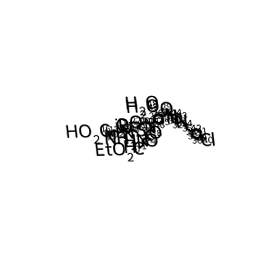 CCOC(=O)CNC(=O)C(SCCNC(=O)CC[C@@H](N)C(=O)O)C(=O)N(CCOC(C)C)c1ccc(C(=O)N2CCN(CCc3ccc(Cl)cc3)CC2)cc1.O.O